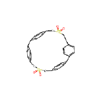 O=S1(=O)Cc2ccc(cc2)-c2ccc(cc2)CS(=O)(=O)Cc2ccc(cc2)-c2ccc(cc2)C1